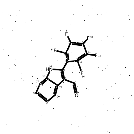 O=Cc1c(-c2c(F)c(F)c(F)c(F)c2F)[nH]c2ccccc12